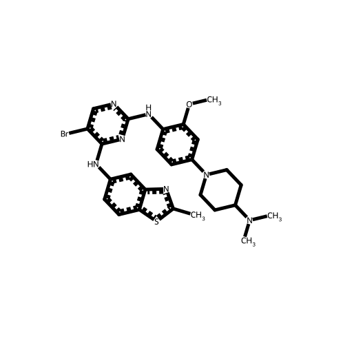 COc1cc(N2CCC(N(C)C)CC2)ccc1Nc1ncc(Br)c(Nc2ccc3sc(C)nc3c2)n1